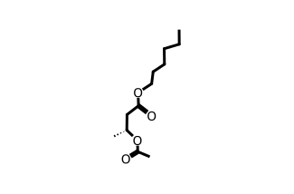 CCCCCCOC(=O)C[C@@H](C)OC(C)=O